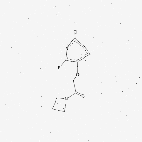 O=C(COc1ccc(Cl)nc1F)N1CCC1